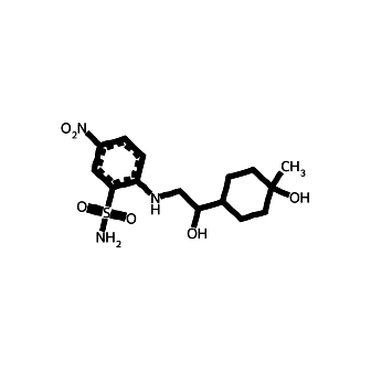 CC1(O)CCC(C(O)CNc2ccc([N+](=O)[O-])cc2S(N)(=O)=O)CC1